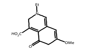 CCN1C=C2C=C(OC)CC(=O)C2=C(C(=O)O)C1